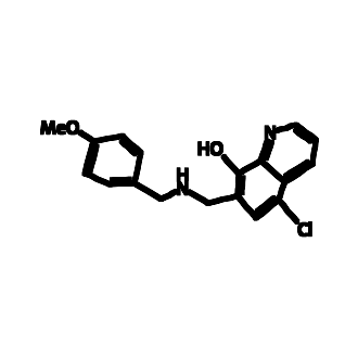 COc1ccc(CNCc2cc(Cl)c3cccnc3c2O)cc1